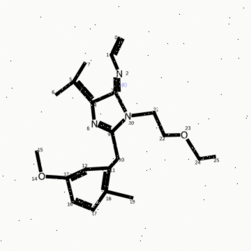 C=C/N=C1\C(=C(C)C)N=C(Cc2cc(OC)ccc2C)N1CCOCC